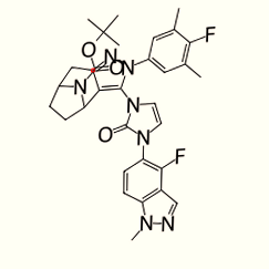 Cc1cc(-n2nc3c(c2-n2ccn(-c4ccc5c(cnn5C)c4F)c2=O)C2CCC(C3)N2C(=O)OC(C)(C)C)cc(C)c1F